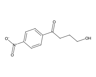 O=C(CCCO)c1ccc([N+](=O)[O-])cc1